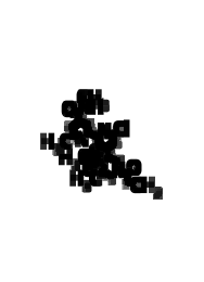 C=CC(=O)N1C[C@@H](C)N(S(C)(=O)=O)[C@@H](c2cc(Cl)nc(-c3cc(C(=O)NC)cc(C)n3)c2)C1